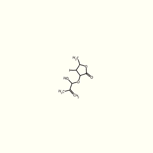 C=C(C)C(O)OC1C(=O)OC(C)C1I